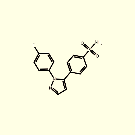 NS(=O)(=O)c1ccc(-c2ccnn2-c2ccc(F)cc2)cc1